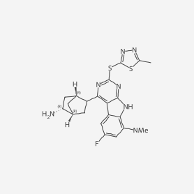 CNc1cc(F)cc2c1[nH]c1nc(Sc3nnc(C)s3)nc(C3C[C@H]4C[C@@H]3C[C@H]4N)c12